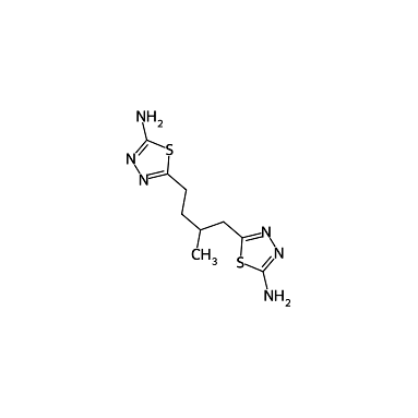 CC(CCc1nnc(N)s1)Cc1nnc(N)s1